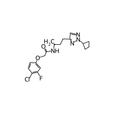 C=C(CCc1cnn(C2CCC2)n1)NC(=O)COc1ccc(Cl)c(F)c1